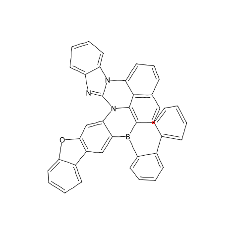 c1ccc(-c2ccccc2B2c3cc4c(cc3-n3c5c2ccc2cccc(c25)n2c5ccccc5nc32)oc2ccccc24)cc1